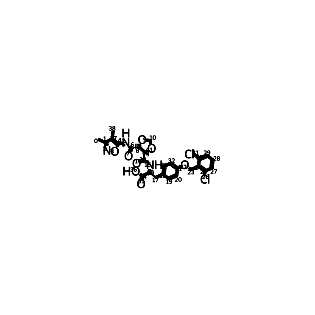 Cc1noc(NC(=O)[C@@H]2OCO[C@H]2C(=O)N[C@@H](Cc2ccc(OCc3c(Cl)cccc3Cl)cc2)C(=O)O)c1C